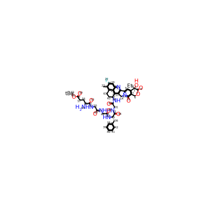 CC[C@@]1(O)C(=O)OCc2c1cc1n(c2=O)Cc2c-1nc1cc(F)c(C)c3c1c2C(NC(=O)CNC(=O)[C@H](Cc1ccccc1)NC(=O)CNC(=O)CNC(=O)[C@@H](N)CCC(=O)OC(C)(C)C)CC3